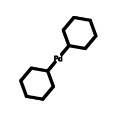 C1CC[CH]([Pd][CH]2CCCCC2)CC1